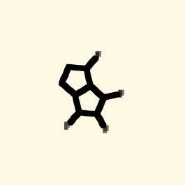 FC1CCC2C(F)C(F)C(F)C12